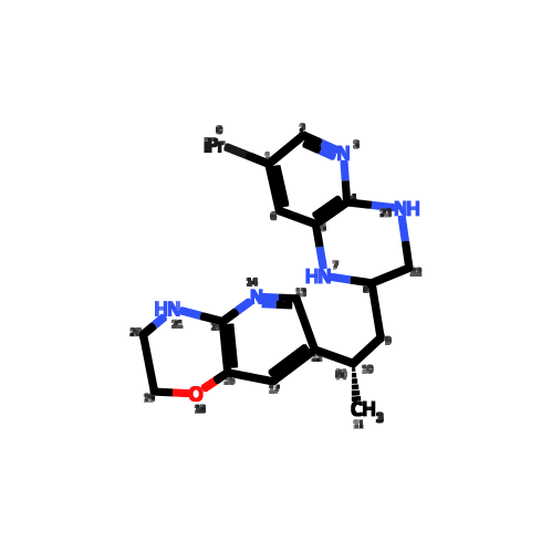 CC(C)c1cnc2c(c1)NC(C[C@H](C)c1cnc3c(c1)OCCN3)CN2